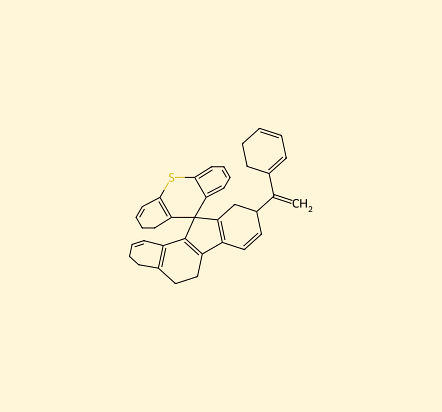 C=C(C1=CC=CCC1)C1C=CC2=C(C1)C1(C3=C(C=CCC3)Sc3ccccc31)C1=C2CCC2=C1C=CCC2